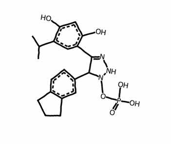 CC(C)c1cc(C2=NNN(OP(=O)(O)O)C2c2ccc3c(c2)CCC3)c(O)cc1O